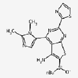 CCCC[S+]([O-])c1sc2nc(-c3nccs3)nc(-c3cnc(C)n3C)c2c1N